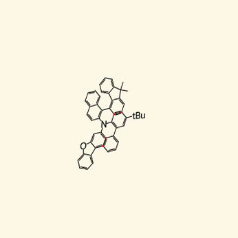 CC(C)(C)c1ccc(N(c2ccc3c(c2)oc2ccccc23)c2ccc3ccccc3c2-c2cccc3c2-c2ccccc2C3(C)C)c(-c2ccccc2)c1